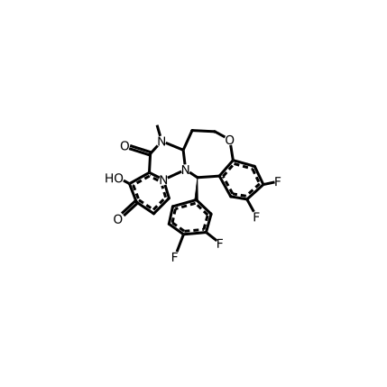 CN1C(=O)c2c(O)c(=O)ccn2N2C1CCOc1cc(F)c(F)cc1[C@H]2c1ccc(F)c(F)c1